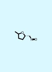 CC1CC[C@@H](CN=O)O1